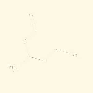 [CH2]C(OC=O)OCC